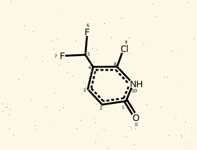 O=c1ccc(C(F)F)c(Cl)[nH]1